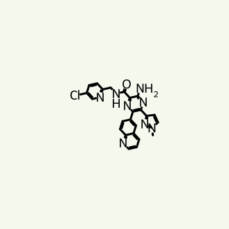 Cn1ccc(-c2nc(N)c(C(=O)NCc3ccc(Cl)cn3)nc2-c2ccc3ncccc3c2)n1